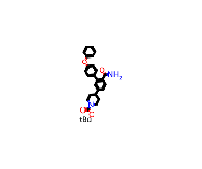 CC(C)(C)OC(=O)N1CCC(c2ccc(C(N)=O)c(-c3ccc(Oc4ccccc4)cc3)c2)CC1